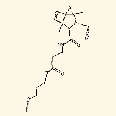 COCCCOC(=O)CCNC(=O)C1C(C=O)C2(C)OC23C=CC13C